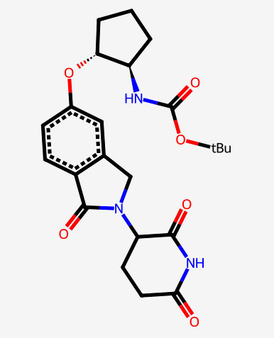 CC(C)(C)OC(=O)N[C@@H]1CCC[C@H]1Oc1ccc2c(c1)CN(C1CCC(=O)NC1=O)C2=O